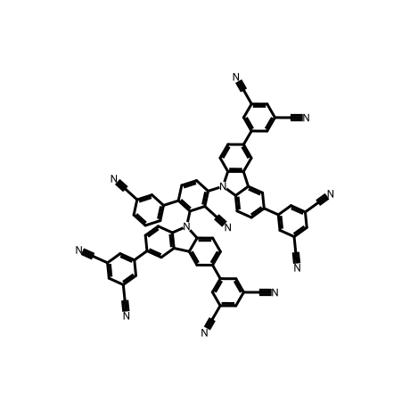 N#Cc1cc(C#N)cc(-c2ccc3c(c2)c2cc(-c4cc(C#N)cc(C#N)c4)ccc2n3-c2ccc(-c3cccc(C#N)c3)c(-n3c4ccc(-c5cc(C#N)cc(C#N)c5)cc4c4cc(-c5cc(C#N)cc(C#N)c5)ccc43)c2C#N)c1